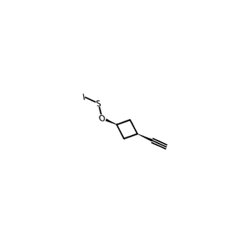 C#C[C@H]1C[C@@H](OSI)C1